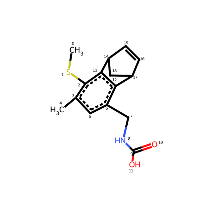 CSc1c(C)cc(CNC(=O)O)c2c1C1C=CC2C1